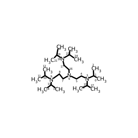 CC(C)N(CCN(CCN(C(C)C)C(C)C)CCN(C(C)C)C(C)C)C(C)C